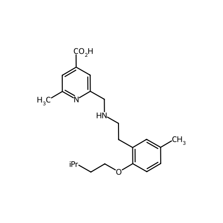 Cc1ccc(OCCC(C)C)c(CCNCc2cc(C(=O)O)cc(C)n2)c1